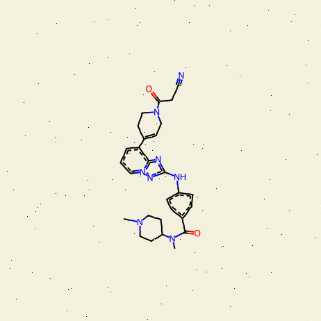 CN1CCC(N(C)C(=O)c2ccc(Nc3nc4c(C5=CCN(C(=O)CC#N)CC5)cccn4n3)cc2)CC1